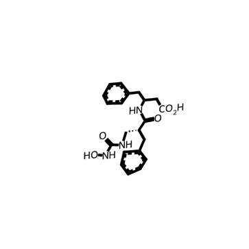 O=C(O)CC(Cc1ccccc1)NC(=O)[C@@H](CNC(=O)NO)Cc1ccccc1